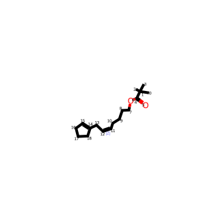 CC(C)(C)C(=O)OCCCC/C=C\CC1=CCCC1